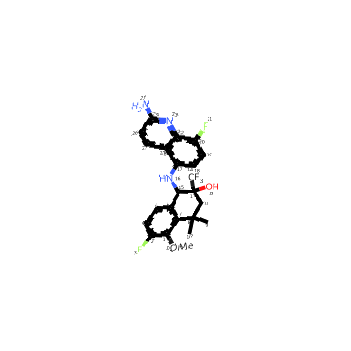 COc1c(F)ccc2c1C(C)(C)CC(O)(C(F)(F)F)C2Nc1ccc(F)c2nc(N)ccc12